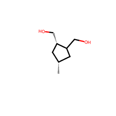 C[C@H]1CC(CO)[C@@H](CO)C1